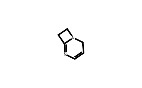 C1=CN=C2CCN2C1